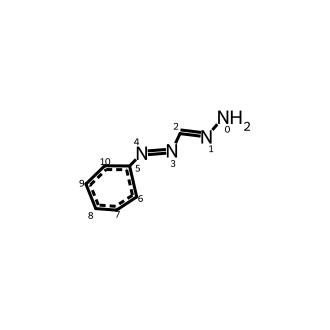 NN=CN=Nc1ccccc1